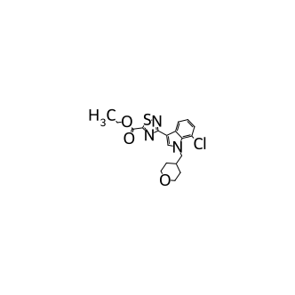 CCOC(=O)c1nc(-c2cn(CC3CCOCC3)c3c(Cl)cccc23)ns1